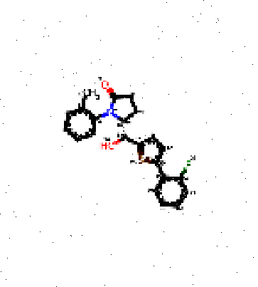 Cc1ccccc1N1C(=O)CC[C@@H]1C(O)c1ccc(-c2ccccc2F)s1